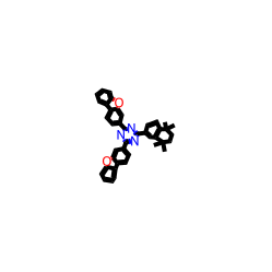 CC1(C)CCC(C)(C)c2cc(-c3nc(-c4ccc5c(c4)oc4ccccc45)nc(-c4ccc5c(c4)oc4ccccc45)n3)ccc21